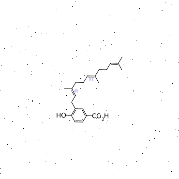 CC(C)=CCC/C(C)=C/CC/C(C)=C/Cc1cc(C(=O)O)ccc1O